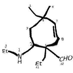 CCNC1CC(C)(C)C=CC1(C=O)CC